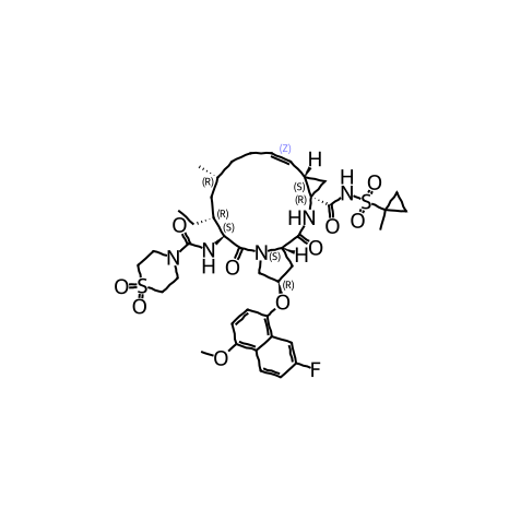 CC[C@@H]1C[C@H](C)CC/C=C\[C@@H]2C[C@@]2(C(=O)NS(=O)(=O)C2(C)CC2)NC(=O)[C@@H]2C[C@@H](Oc3ccc(OC)c4ccc(F)cc34)CN2C(=O)[C@H]1NC(=O)N1CCS(=O)(=O)CC1